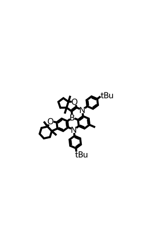 Cc1cc2c3c(c1)N(c1ccc(C(C)(C)C)cc1)c1cc4c(cc1B3C1=C(OC3(C)CCCC13C)N2c1ccc(C(C)(C)C)cc1)OC1(C)CCCCC41C